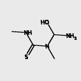 CNC(=S)N(C)C(N)O